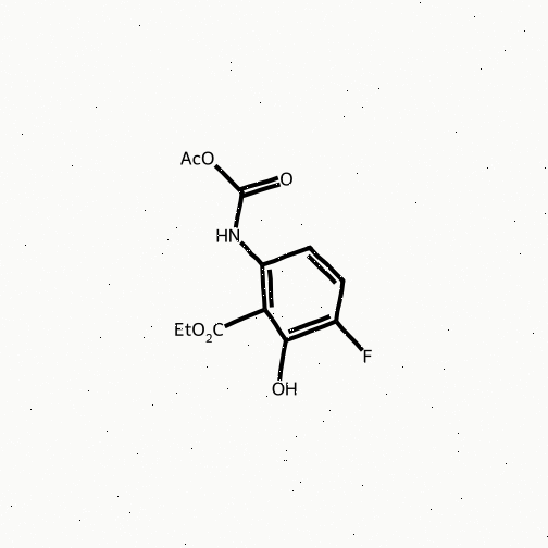 CCOC(=O)c1c(NC(=O)OC(C)=O)ccc(F)c1O